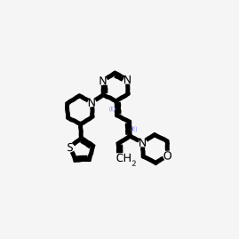 C=C/C(=C\C=C1/CN=CN=C1N1CCCC(c2cccs2)C1)N1CCOCC1